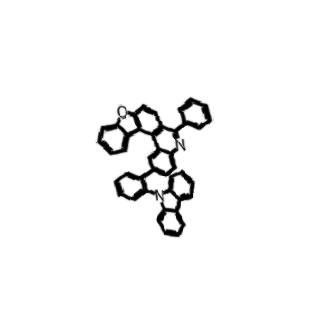 c1ccc(-c2nc3ccc(-c4ccccc4-n4c5ccccc5c5ccccc54)cc3c3c2ccc2oc4ccccc4c23)cc1